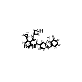 C=C(/N=C(/NC1CNC1)c1c(N)cncc1C1CC1)c1ccnc(Nc2c(F)cccc2F)c1